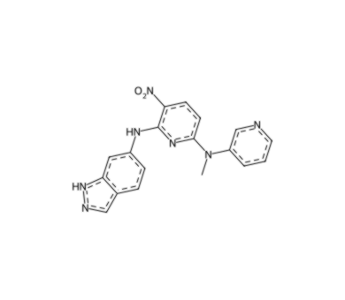 CN(c1cccnc1)c1ccc([N+](=O)[O-])c(Nc2ccc3cn[nH]c3c2)n1